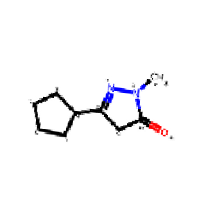 CN1N=C(C2CCCC2)CC1=O